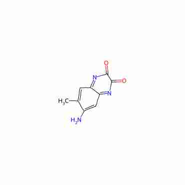 Cc1cc2c(cc1N)=NC(=O)C(=O)N=2